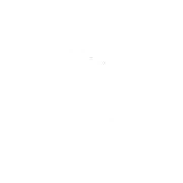 CSC12CCCCC1(C)N(c1ccccc1)c1ccc(-c3ccc4c(c3)-c3ccccc3C4(c3ccccc3)c3ccccc3)cc12